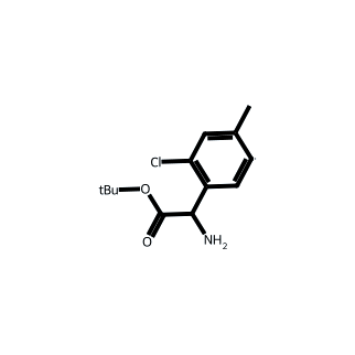 Cc1[c]cc(C(N)C(=O)OC(C)(C)C)c(Cl)c1